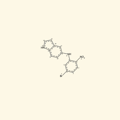 O=[N+]([O-])c1ccc(Br)cc1Nc1ccc2[nH]ccc2c1